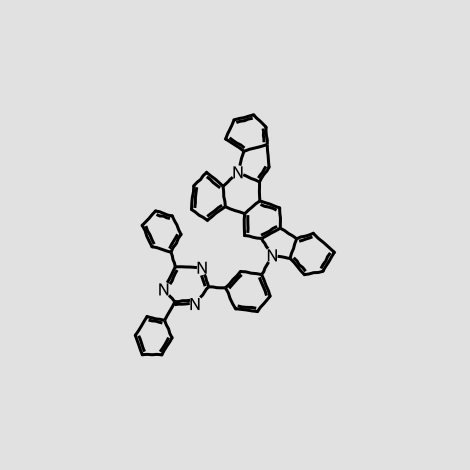 c1ccc(-c2nc(-c3ccccc3)nc(-c3cccc(-n4c5ccccc5c5cc6c(cc54)c4ccccc4n4c5ccccc5cc64)c3)n2)cc1